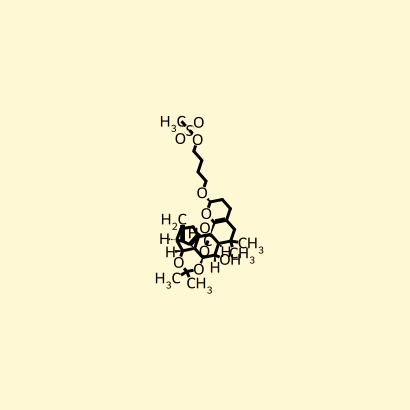 C=C1C(=O)[C@@]23[C@@H]4OC(C)(C)O[C@]25OC[C@]2(C6=C(CC[C@H](OCCCCOS(C)(=O)=O)O6)CC(C)(C)[C@H]2[C@@H]5O)[C@@H]3CC[C@@H]14